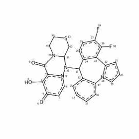 O=C1c2c(O)c(=O)ccn2N(C2c3ccccc3-n3cccc3-c3c2ccc(F)c3F)C2CSCCN12